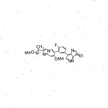 CCn1cnc2c(-c3ccc(F)c(-c4cn5cc(/C(C)=N/OC)nc5cc4OC)c3)cnnc21